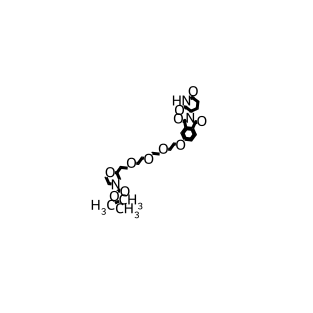 CC(C)(C)OC(=O)N1CCOC(CCOCCOCCOCCOc2ccc3c(c2)C(=O)N(C2CCC(=O)NC2=O)C3=O)C1